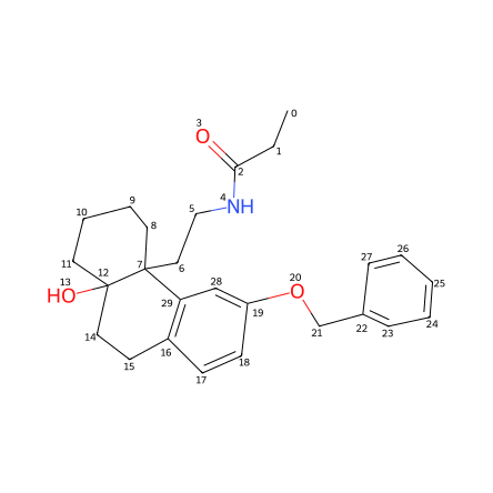 CCC(=O)NCCC12CCCCC1(O)CCc1ccc(OCc3ccccc3)cc12